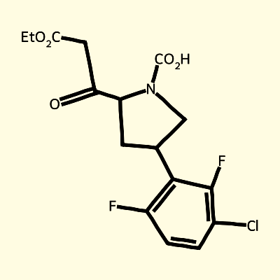 CCOC(=O)CC(=O)C1CC(c2c(F)ccc(Cl)c2F)CN1C(=O)O